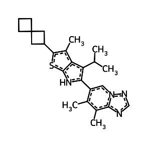 Cc1c(-c2[nH]c3sc(C4CC5(CCC5)C4)c(C)c3c2C(C)C)cn2ncnc2c1C